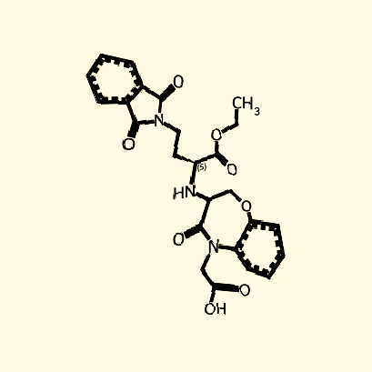 CCOC(=O)[C@H](CCN1C(=O)c2ccccc2C1=O)NC1COc2ccccc2N(CC(=O)O)C1=O